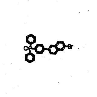 O=P(c1ccccc1)(c1ccccc1)c1ccc(-c2ccc3cc(Br)ccc3c2)cc1